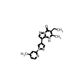 CCc1c(C)[nH]c2c(-c3cnn(-c4cc(C)ccn4)c3)cnn2c1=O